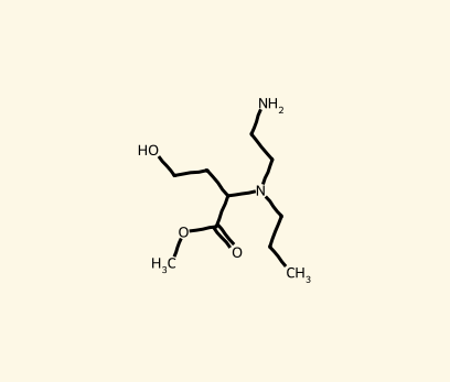 CCCN(CCN)C(CCO)C(=O)OC